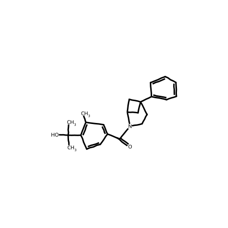 Cc1cc(C(=O)N2CCC3(c4ccccc4)CC2C3)ccc1C(C)(C)O